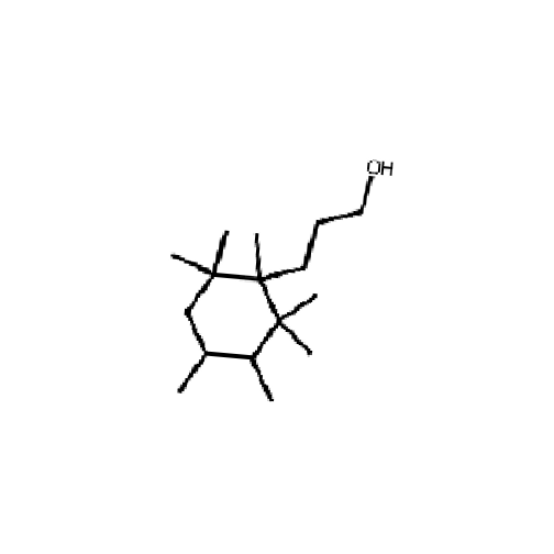 CC1CC(C)(C)C(C)(CCCO)C(C)(C)C1C